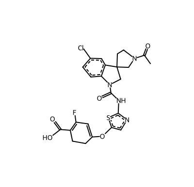 CC(=O)N1CCC2(C1)CN(C(=O)Nc1ncc(OC3=CC(F)=C(C(=O)O)CC3)s1)c1ccc(Cl)cc12